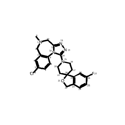 CN1Cc2cc(Cl)ccc2-n2c(nnc2N2CCC3(CC2)OCc2ccc(F)cc23)C1